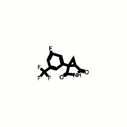 O=C1NC(=O)C2(c3cc(F)cc(C(F)(F)F)c3)CC12